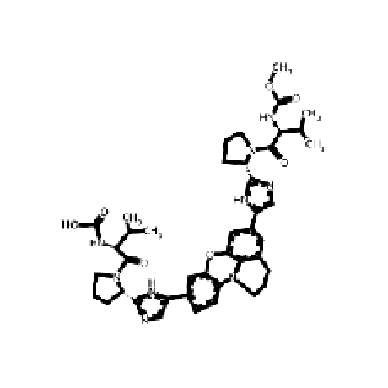 COC(=O)N[C@H](C(=O)N1CCC[C@H]1c1ncc(-c2cc3c4c(c2)Oc2cc(-c5cnc([C@@H]6CCCN6C(=O)[C@@H](NC(=O)O)C(C)C)[nH]5)ccc2N4CCC3)[nH]1)C(C)C